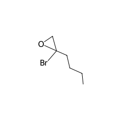 CCCCC1(Br)CO1